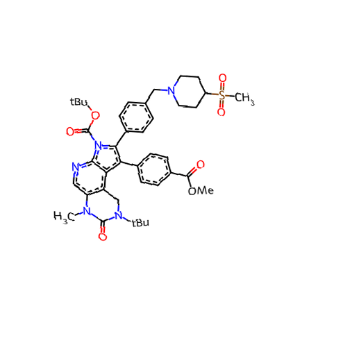 COC(=O)c1ccc(-c2c(-c3ccc(CN4CCC(S(C)(=O)=O)CC4)cc3)n(C(=O)OC(C)(C)C)c3ncc4c(c23)CN(C(C)(C)C)C(=O)N4C)cc1